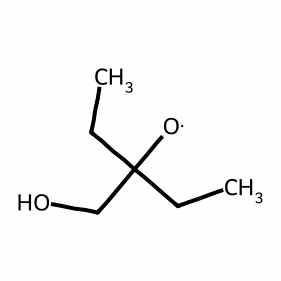 CCC([O])(CC)CO